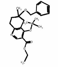 CCOC(=O)c1cnc2c(c1O[Si](C)(C)C)CC(C)(OCc1ccccc1)CC2